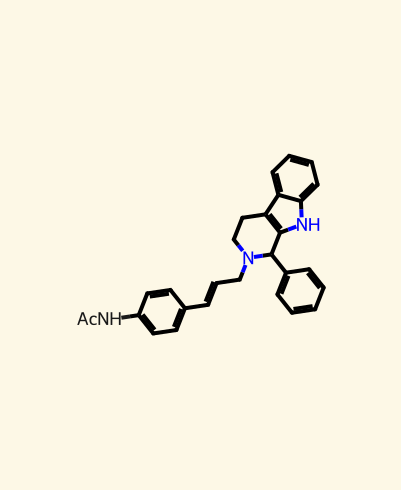 CC(=O)Nc1ccc(C=CCN2CCc3c([nH]c4ccccc34)C2c2ccccc2)cc1